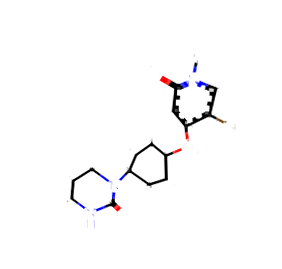 Cn1cc(Br)c(OC2CCC(N3CCCNC3=O)CC2)cc1=O